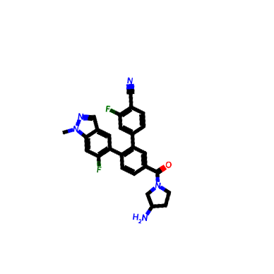 Cn1ncc2cc(-c3ccc(C(=O)N4CCC(N)C4)cc3-c3ccc(C#N)c(F)c3)c(F)cc21